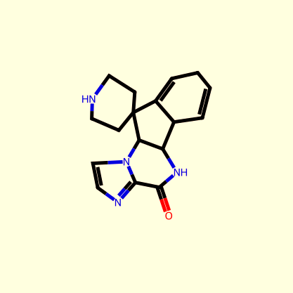 O=C1NC2C3C=CCC=C3C3(CCNCC3)C2n2ccnc21